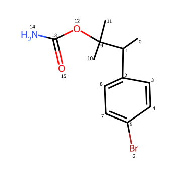 CC(c1ccc(Br)cc1)C(C)(C)OC(N)=O